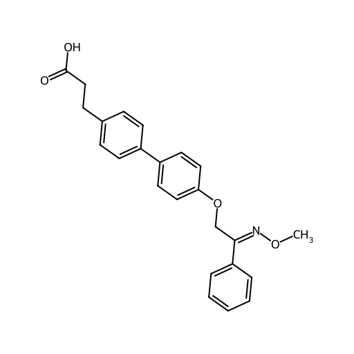 CON=C(COc1ccc(-c2ccc(CCC(=O)O)cc2)cc1)c1ccccc1